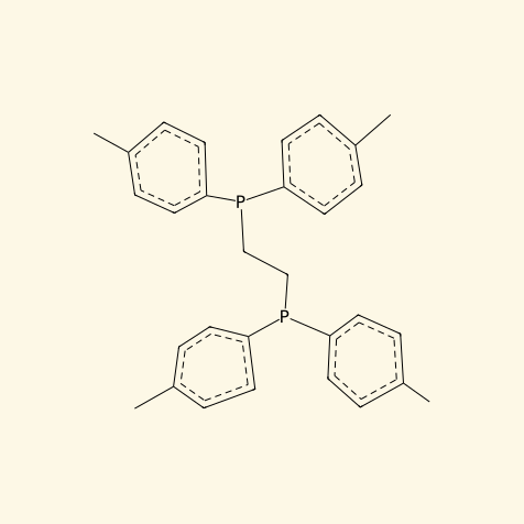 Cc1ccc(P(CCP(c2ccc(C)cc2)c2ccc(C)cc2)c2ccc(C)cc2)cc1